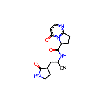 N#CC(CC1CCNC1=O)NC(=O)C1CCc2nccc(=O)n21